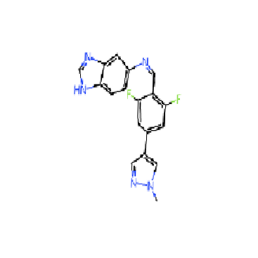 Cn1cc(-c2cc(F)c(/C=N\c3ccc4[nH]cnc4c3)c(F)c2)cn1